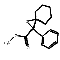 COC(=O)C1(c2ccccc2)OC12CCCCC2